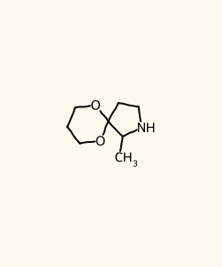 CC1NCCC12OCCCO2